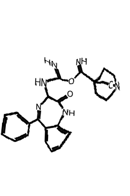 N=C(NC1N=C(c2ccccc2)c2ccccc2NC1=O)OC(=N)C12CCN(CC1)CC2